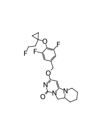 O=c1nc(OCc2cc(F)c(OC3(CCF)CC3)c(F)c2)cc2n1CC1CCCCN21